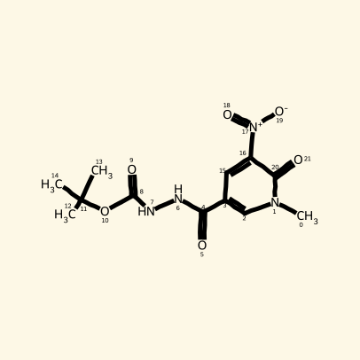 Cn1cc(C(=O)NNC(=O)OC(C)(C)C)cc([N+](=O)[O-])c1=O